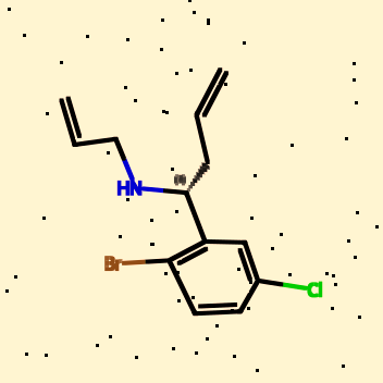 C=CCN[C@H](CC=C)c1cc(Cl)ccc1Br